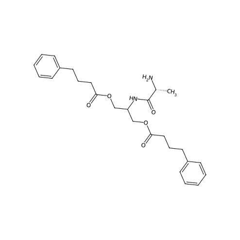 C[C@@H](N)C(=O)NC(COC(=O)CCCc1ccccc1)COC(=O)CCCc1ccccc1